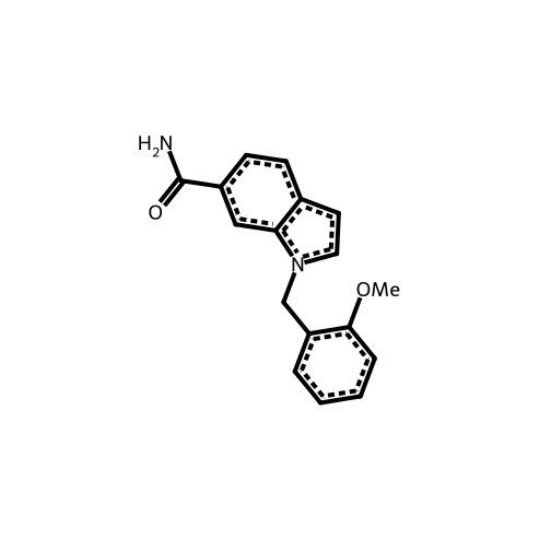 COc1ccccc1Cn1ccc2ccc(C(N)=O)cc21